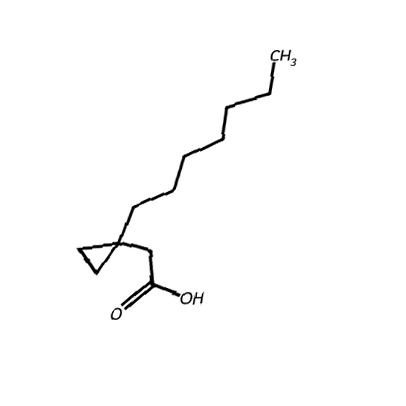 CCCCCCCC1(CC(=O)O)CC1